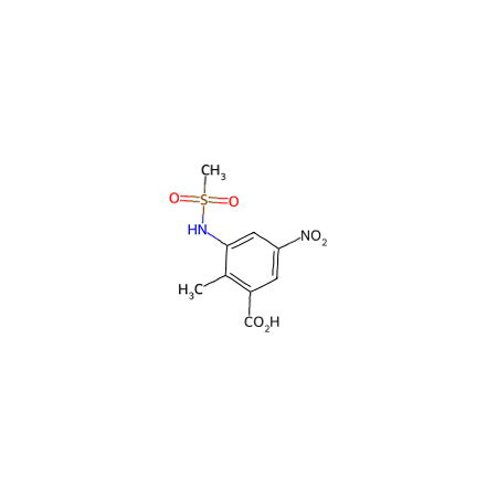 Cc1c(NS(C)(=O)=O)cc([N+](=O)[O-])cc1C(=O)O